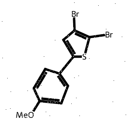 COc1ccc(-c2cc(Br)c(Br)s2)cc1